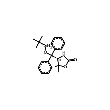 CC(C)(C)[SiH2]OC(c1ccccc1)(c1ccccc1)[C@H]1NC(=O)OC1(C)C